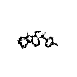 CCC1c2[nH]c3ccccc3c2CCN1C(=O)c1ccc(I)cc1